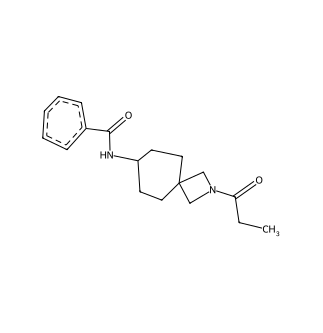 CCC(=O)N1CC2(CCC(NC(=O)c3ccccc3)CC2)C1